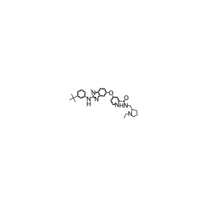 CCN1CCCC1CNC(=O)c1cc(Oc2ccc3c(c2)nc(Nc2cccc(C(C)(C)C)c2)n3C)ccn1